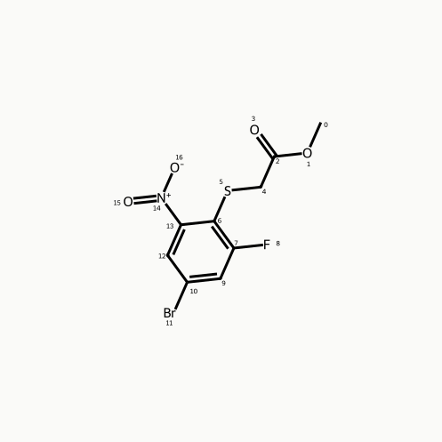 COC(=O)CSc1c(F)cc(Br)cc1[N+](=O)[O-]